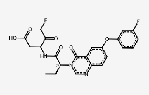 CC[C@@H](C(=O)NC(CC(=O)O)C(=O)CF)n1cnc2ccc(Oc3cccc(F)c3)cc2c1=O